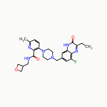 CCc1nc2c(F)cc(CN3CCN(c4ccc(C)nc4C(=O)NCC4COC4)CC3)cc2[nH]c1=O